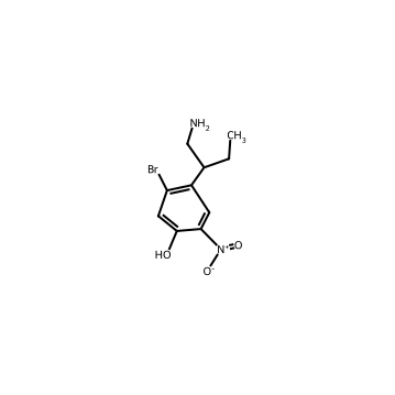 CCC(CN)c1cc([N+](=O)[O-])c(O)cc1Br